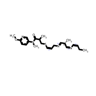 CC/C=C\N=C/[C@@H](C)/C=N/C/C=C\SCC(C)C(=O)N(C)c1ccc(OC)nc1